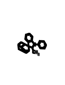 CC1N(c2ccccc2)c2ccccc2C12C1CC3CC(C1)CC2C3